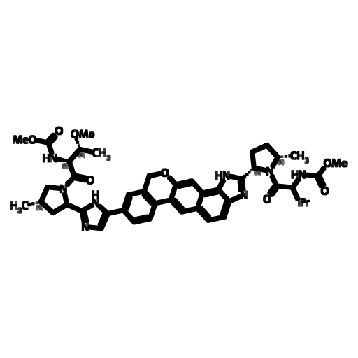 COC(=O)NC(C(=O)N1[C@@H](C)CC[C@H]1c1nc2ccc3cc4c(cc3c2[nH]1)OCc1cc(-c2cnc(C3C[C@H](C)CN3C(=O)[C@@H](NC(=O)OC)[C@@H](C)OC)[nH]2)ccc1-4)C(C)C